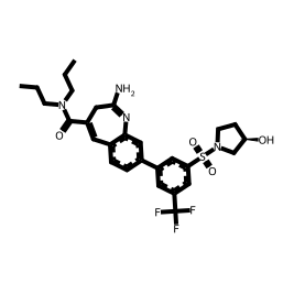 CCCN(CCC)C(=O)C1=Cc2ccc(-c3cc(C(F)(F)F)cc(S(=O)(=O)N4CC[C@@H](O)C4)c3)cc2N=C(N)C1